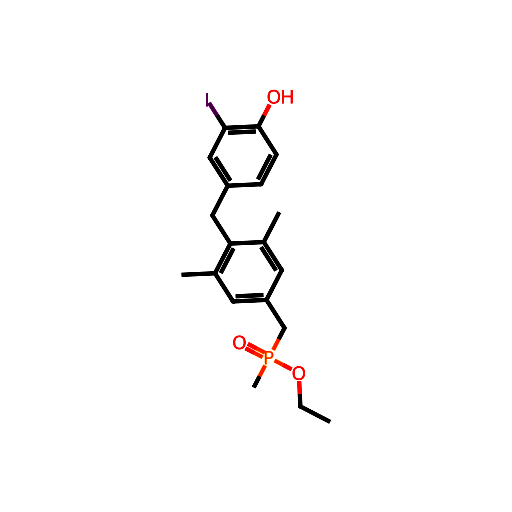 CCOP(C)(=O)Cc1cc(C)c(Cc2ccc(O)c(I)c2)c(C)c1